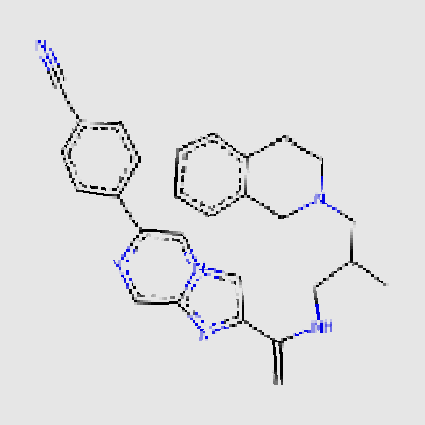 C=C(NCC(C)CN1CCc2ccccc2C1)c1cn2cc(-c3ccc(C#N)cc3)ncc2n1